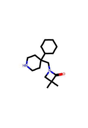 CC1(C)CN(CC2(C3CCCCC3)CCNCC2)C1=O